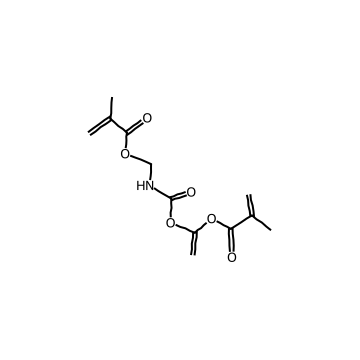 C=C(OC(=O)NCOC(=O)C(=C)C)OC(=O)C(=C)C